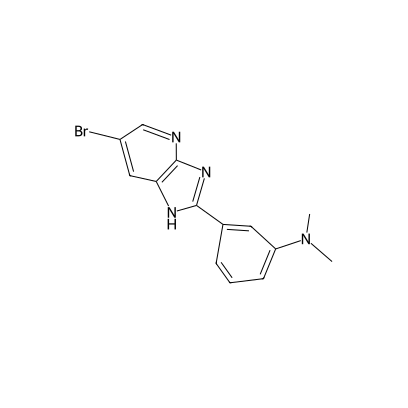 CN(C)c1cccc(-c2nc3ncc(Br)cc3[nH]2)c1